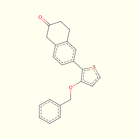 O=C1CCc2cc(-c3sccc3OCc3ccccc3)ccc2C1